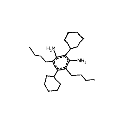 CCCCc1c(N)c(C2CCCCC2)c(N)c(CCCC)c1C1CCCCC1